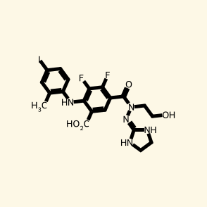 Cc1cc(I)ccc1Nc1c(C(=O)O)cc(C(=O)N(CCO)N=C2NCCN2)c(F)c1F